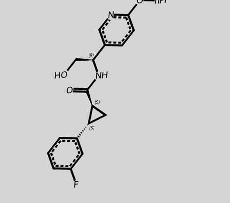 CCCOc1ccc([C@H](CO)NC(=O)[C@H]2C[C@@H]2c2cccc(F)c2)cn1